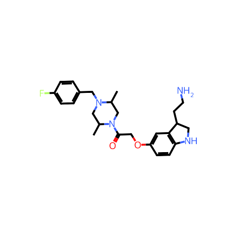 CC1CN(C(=O)COc2ccc3c(c2)C(CCN)CN3)C(C)CN1Cc1ccc(F)cc1